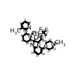 Cc1cccnc1[C@@H]1CCC[C@H](C2(C)N=C3C=CC=C(N4CCN(C)CC4)N3C2COC(F)(F)F)N1C